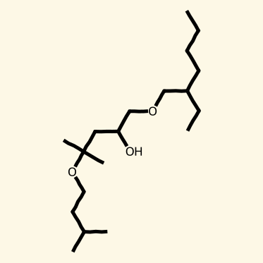 CCCCC(CC)COCC(O)CC(C)(C)OCCC(C)C